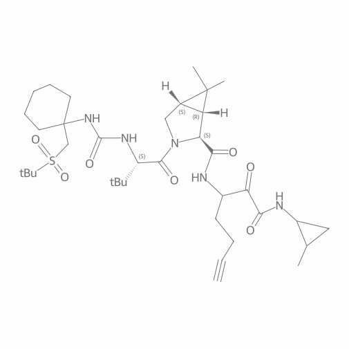 C#CCCC(NC(=O)[C@@H]1[C@@H]2[C@H](CN1C(=O)[C@@H](NC(=O)NC1(CS(=O)(=O)C(C)(C)C)CCCCC1)C(C)(C)C)C2(C)C)C(=O)C(=O)NC1CC1C